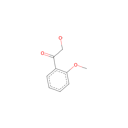 COc1ccccc1C(=O)C[O]